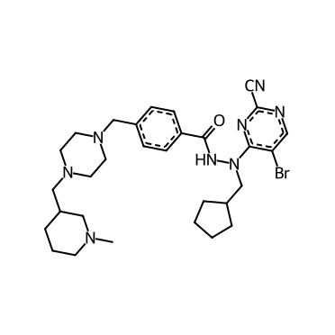 CN1CCCC(CN2CCN(Cc3ccc(C(=O)NN(CC4CCCC4)c4nc(C#N)ncc4Br)cc3)CC2)C1